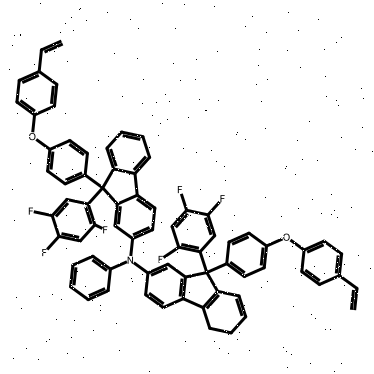 C=Cc1ccc(Oc2ccc(C3(c4cc(F)c(F)cc4F)C4=C(CCC=C4)c4ccc(N(c5ccccc5)c5ccc6c(c5)C(c5ccc(Oc7ccc(C=C)cc7)cc5)(c5cc(F)c(F)cc5F)c5ccccc5-6)cc43)cc2)cc1